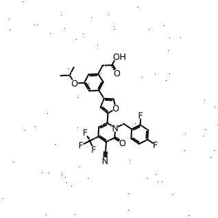 CC(C)Oc1cc(CC(=O)O)cc(-c2coc(-c3cc(C(F)(F)F)c(C#N)c(=O)n3Cc3ccc(F)cc3F)c2)c1